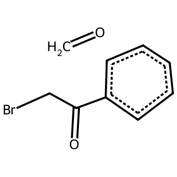 C=O.O=C(CBr)c1ccccc1